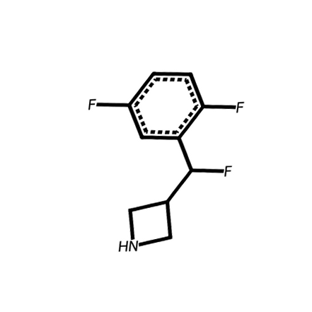 Fc1ccc(F)c(C(F)C2CNC2)c1